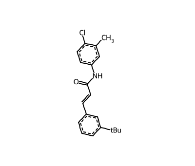 Cc1cc(NC(=O)/C=C/c2cccc(C(C)(C)C)c2)ccc1Cl